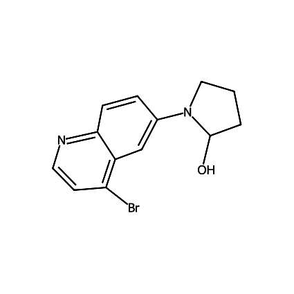 OC1CCCN1c1ccc2nccc(Br)c2c1